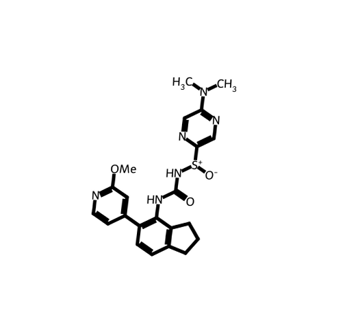 COc1cc(-c2ccc3c(c2NC(=O)N[S+]([O-])c2cnc(N(C)C)cn2)CCC3)ccn1